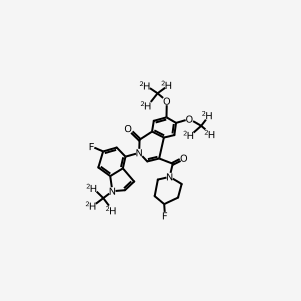 [2H]C([2H])([2H])Oc1cc2c(C(=O)N3CCC(F)CC3)cn(-c3cc(F)cc4c3ccn4C([2H])([2H])[2H])c(=O)c2cc1OC([2H])([2H])[2H]